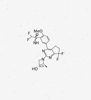 COc1ccc(-c2nc(N3C[C@@H](O)[C@@H]3C)nc3c2CCC3(F)F)cc1S(=N)(=O)C(F)F